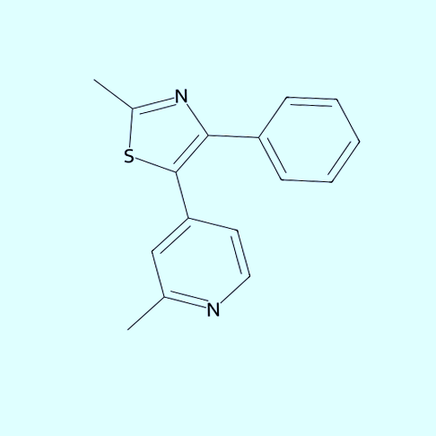 Cc1cc(-c2sc(C)nc2-c2ccccc2)ccn1